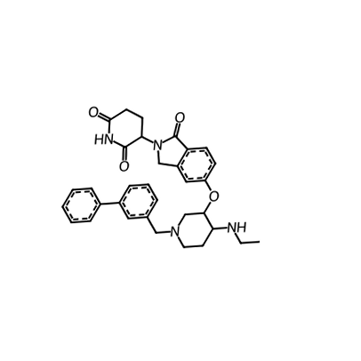 CCNC1CCN(Cc2cccc(-c3ccccc3)c2)CC1Oc1ccc2c(c1)CN(C1CCC(=O)NC1=O)C2=O